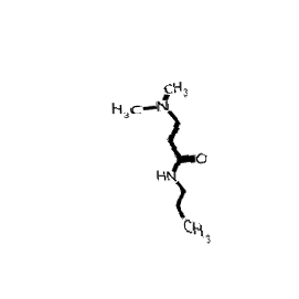 CCCNC(=O)CCN(C)C